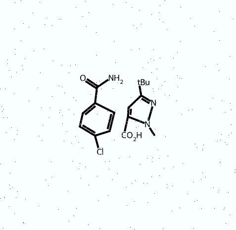 Cn1nc(C(C)(C)C)cc1C(=O)O.NC(=O)c1ccc(Cl)cc1